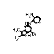 Cc1[nH]c2c(Br)cc(Nc3cnccc3N)cc2c1C